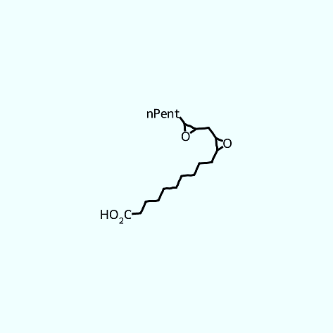 CCCCCC1OC1CC1OC1CCCCCCCCCC(=O)O